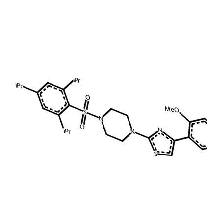 COc1ccccc1-c1csc(N2CCN(S(=O)(=O)c3c(C(C)C)cc(C(C)C)cc3C(C)C)CC2)n1